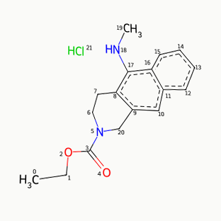 CCOC(=O)N1CCc2c(cc3ccccc3c2NC)C1.Cl